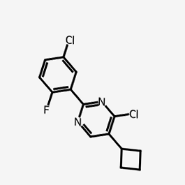 Fc1ccc(Cl)cc1-c1ncc(C2CCC2)c(Cl)n1